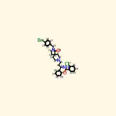 O=C(NC(CCN1CCC2(CC1)CCN(Cc1ccc(Br)cc1)C2=O)c1ccccc1)c1ccccc1Cl